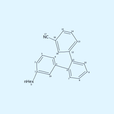 CCCCCCc1cccc(-c2ccccc2-c2cccc(C#N)c2)c1